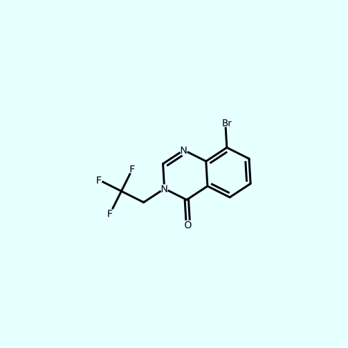 O=c1c2cccc(Br)c2ncn1CC(F)(F)F